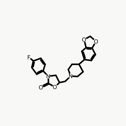 O=C1OC(CN2CCC(c3ccc4c(c3)OCO4)CC2)CN1c1ccc(F)cc1